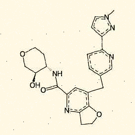 Cn1ccc(-c2ccc(Cc3cc(C(=O)N[C@H]4CCOC[C@@H]4O)nc4c3OCC4)cn2)n1